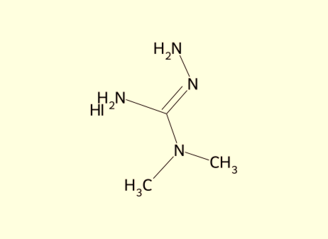 CN(C)/C(N)=N/N.I